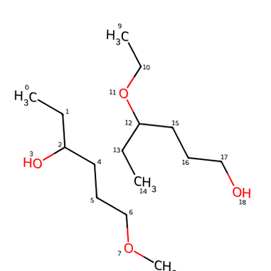 CCC(O)CCCOC.CCOC(CC)CCCO